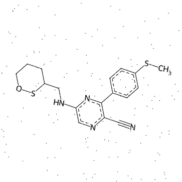 CSc1ccc(-c2nc(NCC3CCCOS3)cnc2C#N)cc1